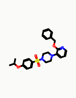 CC(C)Oc1ccc(S(=O)(=O)N2CCN(c3cccnc3OCc3ccccc3)CC2)cc1